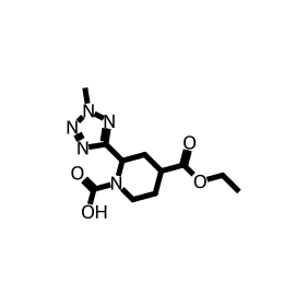 CCOC(=O)C1CCN(C(=O)O)C(c2nnn(C)n2)C1